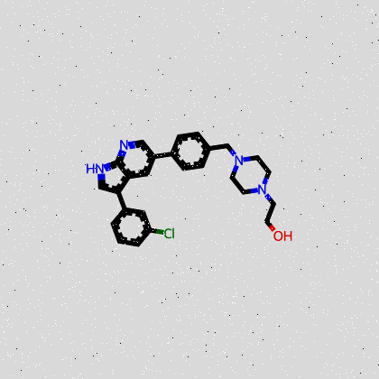 OCCN1CCN(Cc2ccc(-c3cnc4[nH]cc(-c5cccc(Cl)c5)c4c3)cc2)CC1